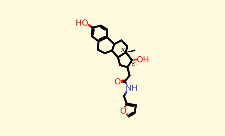 C[C@]12CCC3c4ccc(O)cc4CCC3C1CC(CC(=O)NCc1ccco1)[C@@H]2O